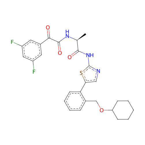 C[C@H](NC(=O)C(=O)c1cc(F)cc(F)c1)C(=O)Nc1ncc(-c2ccccc2COC2CCCCC2)s1